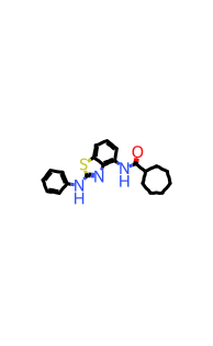 O=C(Nc1cccc2sc(Nc3ccccc3)nc12)C1CCCCCC1